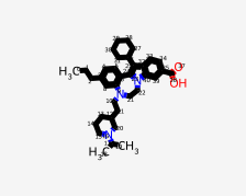 CCCc1ccc2c(c1)N(CCC1CCCN(C(C)C)C1)CCn1c-2c(C2CCCCC2)c2ccc(C(=O)O)cc21